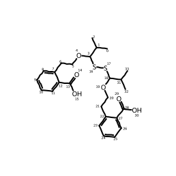 CC(C)C(OCCc1ccccc1C(=O)O)SSC(OCCc1ccccc1C(=O)O)C(C)C